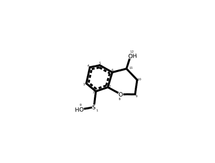 OSc1cccc2c1OCCC2O